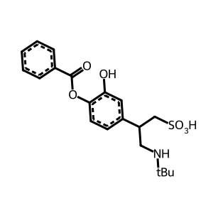 CC(C)(C)NCC(CS(=O)(=O)O)c1ccc(OC(=O)c2ccccc2)c(O)c1